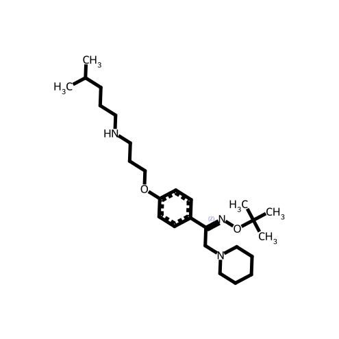 CC(C)CCCNCCCOc1ccc(/C(CN2CCCCC2)=N/OC(C)(C)C)cc1